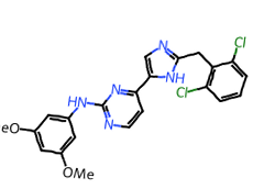 COc1cc(Nc2nccc(-c3cnc(Cc4c(Cl)cccc4Cl)[nH]3)n2)cc(OC)c1